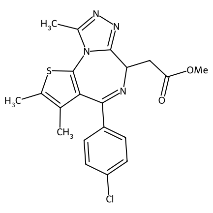 COC(=O)CC1N=C(c2ccc(Cl)cc2)c2c(sc(C)c2C)-n2c(C)nnc21